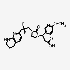 COc1ccc(C(CC(=O)O)N2CCN(CC(F)(F)Cc3ccc4c(n3)NCCC4)C2=O)cn1